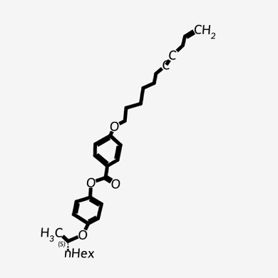 C=CCCCCCCCCCOc1ccc(C(=O)Oc2ccc(O[C@@H](C)CCCCCC)cc2)cc1